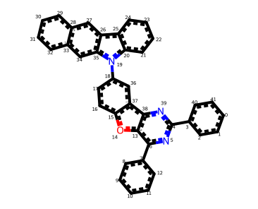 c1ccc(-c2nc(-c3ccccc3)c3oc4ccc(-n5c6ccccc6c6cc7ccccc7cc65)cc4c3n2)cc1